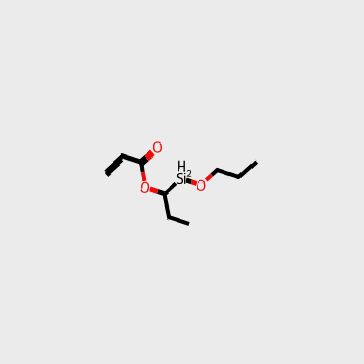 C=CC(=O)OC(CC)[SiH2]OCCC